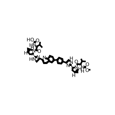 COC(=O)N[C@H](C(=O)N1[C@@H]2C[C@@H]2C[C@H]1c1nc(-c2ccc(-c3ccc4nc(-c5c[nH]c([C@@H]6C[C@H]7C[C@H]7N6C(=O)[C@@H](NC(=O)O)C(C)C)n5)ccc4c3)cc2)c[nH]1)C(C)C